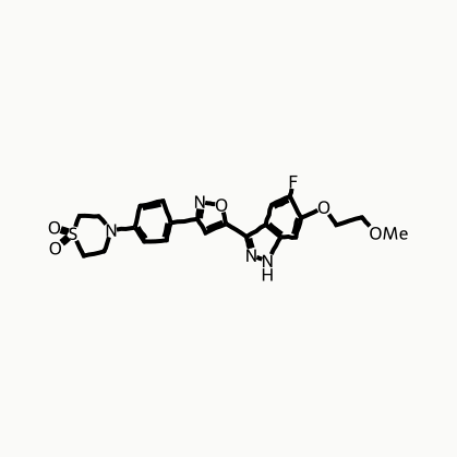 COCCOc1cc2[nH]nc(-c3cc(-c4ccc(N5CCS(=O)(=O)CC5)cc4)no3)c2cc1F